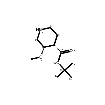 CO[C@@H]1CNCC[C@@H]1C(=O)OC(C)(C)C